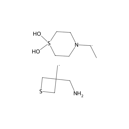 C[CH]N1CCS(O)(O)CC1.[CH2]C1(CN)CSC1